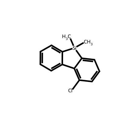 C[Si]1(C)c2ccccc2-c2c(Cl)cccc21